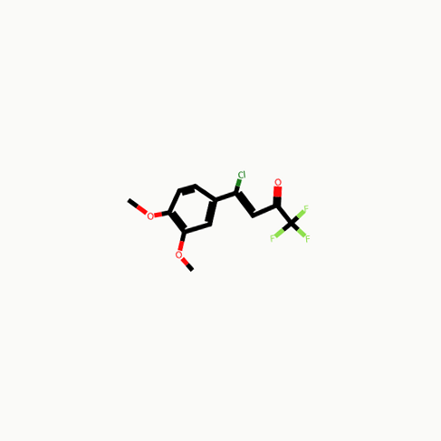 COc1ccc(C(Cl)=CC(=O)C(F)(F)F)cc1OC